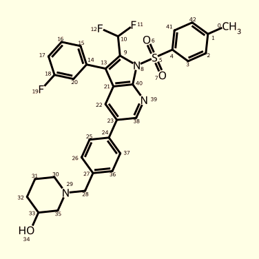 Cc1ccc(S(=O)(=O)n2c(C(F)F)c(-c3cccc(F)c3)c3cc(-c4ccc(CN5CCCC(O)C5)cc4)cnc32)cc1